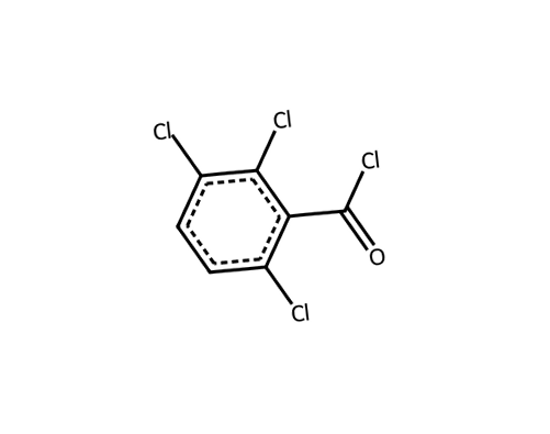 O=C(Cl)c1c(Cl)ccc(Cl)c1Cl